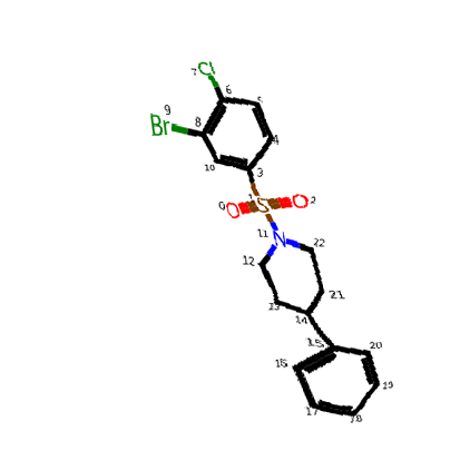 O=S(=O)(c1ccc(Cl)c(Br)c1)N1CCC(c2ccccc2)CC1